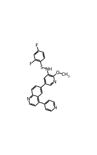 COc1ncc(-c2ccc3nccc(-c4ccncc4)c3c2)cc1NSc1ccc(F)cc1F